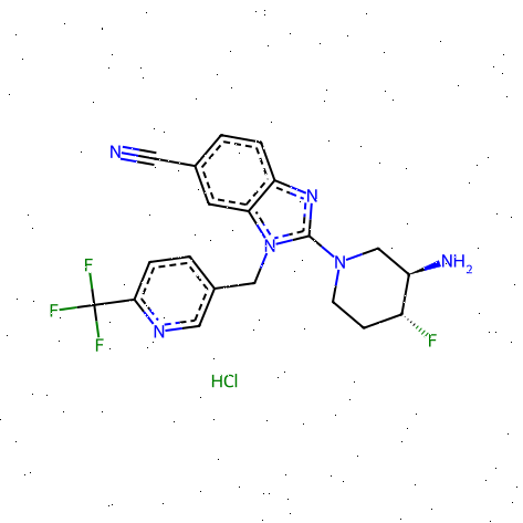 Cl.N#Cc1ccc2nc(N3CC[C@@H](F)[C@H](N)C3)n(Cc3ccc(C(F)(F)F)nc3)c2c1